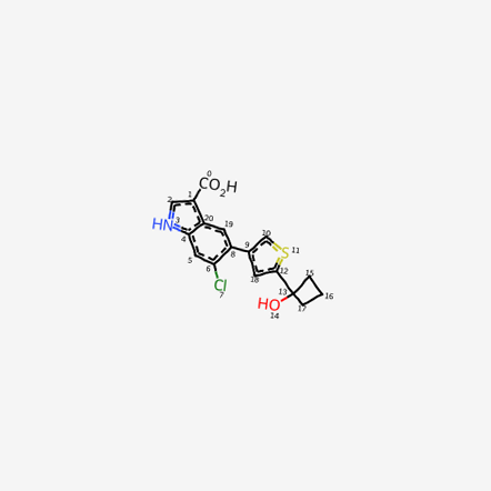 O=C(O)c1c[nH]c2cc(Cl)c(-c3csc(C4(O)CCC4)c3)cc12